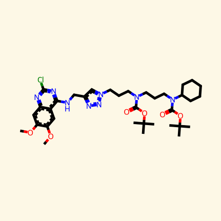 COc1cc2nc(Cl)nc(NCc3cn(CCCN(CCCN(C(=O)OC(C)(C)C)C4CCCCC4)C(=O)OC(C)(C)C)nn3)c2cc1OC